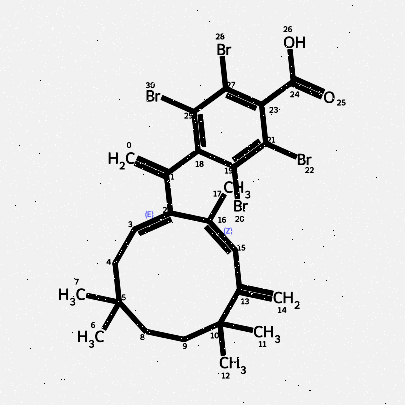 C=C(C1=C/CC(C)(C)CCC(C)(C)C(=C)/C=C\1C)c1c(Br)c(Br)c(C(=O)O)c(Br)c1Br